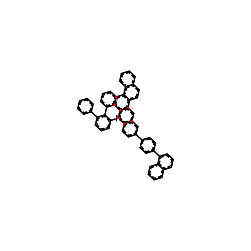 c1ccc(-c2ccccc2-c2c(-c3ccccc3)cccc2N(c2ccc(-c3ccc(-c4cccc5ccccc45)cc3)cc2)c2ccc3c(ccc4ccccc43)c2)cc1